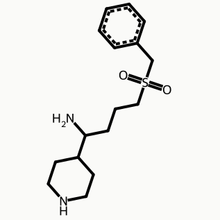 NC(CCCS(=O)(=O)Cc1ccccc1)C1CCNCC1